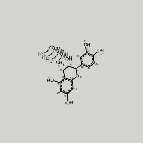 CC(=O)O.CC(=O)O.CC(=O)O.CC(=O)O.Oc1cc(O)c2c(c1)O[C@H](c1ccc(O)c(O)c1)[C@@H](O)C2